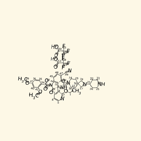 CCOc1ncccc1C1(NC(=O)N2CCC3(CC2)CN(C2CCNCC2)C3)C(=O)N(S(=O)(=O)c2ccc(OC)cc2OC)c2ccc(C#N)cc21.O=C(O)C(F)(F)F.O=C(O)C(F)(F)F